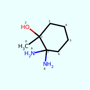 CC1(O)CCCCC1(N)N